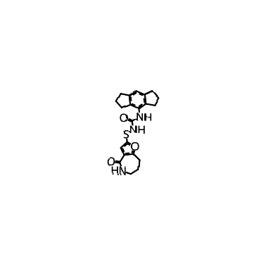 O=C(NSc1cc2c(o1)CCCNC2=O)Nc1c2c(cc3c1CCC3)CCC2